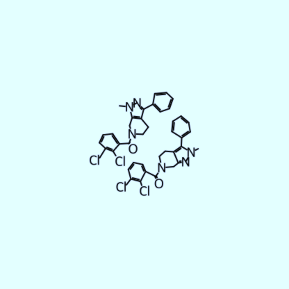 Cn1nc(-c2ccccc2)c2c1CN(C(=O)c1cccc(Cl)c1Cl)CC2.Cn1nc2c(c1-c1ccccc1)CCN(C(=O)c1cccc(Cl)c1Cl)C2